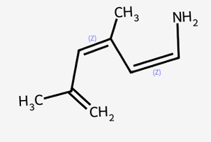 C=C(C)/C=C(C)\C=C/N